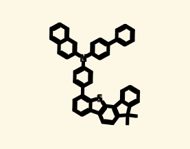 CC1(C)c2ccccc2-c2c1ccc1c2sc2c(-c3ccc(N(c4ccc(-c5ccccc5)cc4)c4ccc5ccccc5c4)cc3)cccc21